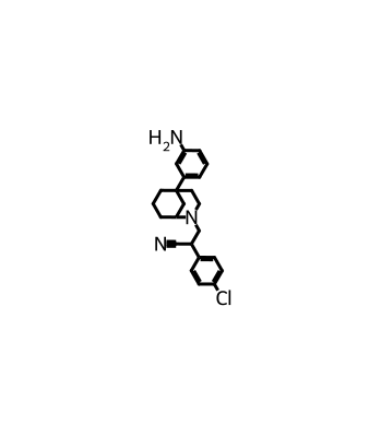 N#CC(CN1CCC2(c3cccc(N)c3)CCCC1C2)c1ccc(Cl)cc1